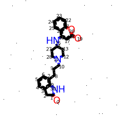 O=C1Cc2cccc(CCCN3CCC(Nc4cc(=O)oc5ccccc45)CC3)c2N1